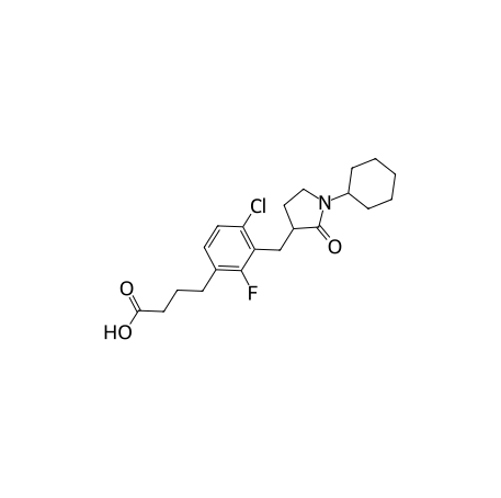 O=C(O)CCCc1ccc(Cl)c(CC2CCN(C3CCCCC3)C2=O)c1F